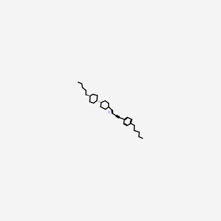 CCCCCc1ccc(C#C/C=C/C2CCC([C@H]3CC[C@H](CCCCC)CC3)CC2)cc1